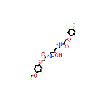 O=C(COc1ccc(Cl)c(F)c1)NCC[C@H](O)CNC(=O)COc1ccc(OC(F)F)c(F)c1